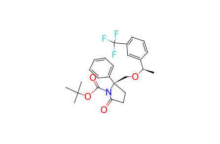 C[C@@H](OC[C@@]1(c2ccccc2)CCC(=O)N1C(=O)OC(C)(C)C)c1cccc(C(F)(F)F)c1